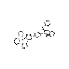 c1ccc(C2(c3ccccc3)c3ccccc3-c3cc(-c4ccc(-c5nc6ccccc6c6c5sc5ccccc56)cc4)ccc32)cc1